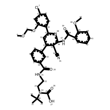 COCOc1cc(Cl)ccc1-c1cc(-c2cccc(C(=O)NCCN(C(=O)O)C(C)(C)C)c2)c(C#N)c(NC(=O)c2ccccc2OC)n1